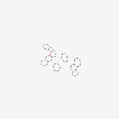 c1cc(-c2cc3ccccc3c3ccccc23)cc(N(c2ccc3c(c2)oc2ccccc23)c2ccccc2-c2cccc3ccccc23)c1